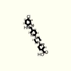 O=C(O)c1ccc(N2CCN(c3ccc(-c4nc5cc(Cl)ccc5[nH]4)cn3)CC2)nc1